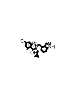 CN(Cc1cccc2[nH]ncc12)[C@@H](CC1CC1)C(O)c1c(F)cc(Cl)cc1F